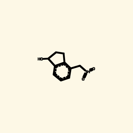 O=[SH](=O)Cc1cccc2c1CCC2O